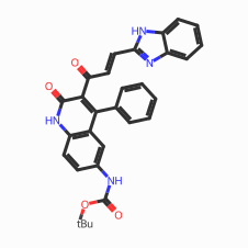 CC(C)(C)OC(=O)Nc1ccc2[nH]c(=O)c(C(=O)C=Cc3nc4ccccc4[nH]3)c(-c3ccccc3)c2c1